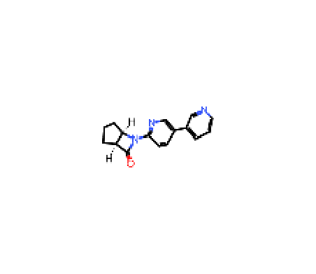 O=C1[C@H]2CCC[C@H]2N1c1ccc(-c2cccnc2)cn1